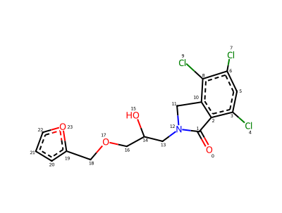 O=C1c2c(Cl)cc(Cl)c(Cl)c2CN1CC(O)COCc1ccco1